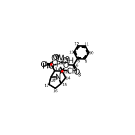 COC(=O)C1C(OC(=O)c2ccccc2)CC2CCC1N2C(C)P(=O)(O)O